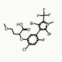 COCCC(Oc1cc(-c2c(Br)c(C(F)(F)F)n(C)c2Br)c(F)cc1Cl)C(=O)O